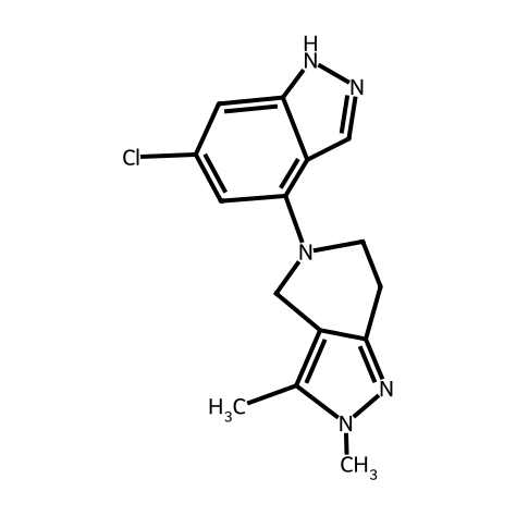 Cc1c2c(nn1C)CCN(c1cc(Cl)cc3[nH]ncc13)C2